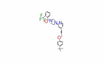 CC(C)(C)c1ccc(OCC#Cc2ccnc(N3CCN(C(=O)c4ccccc4C(F)(F)F)CC3)c2)cc1